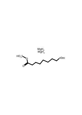 CCCCCCCCCCCCCCCCCC(=O)OS(=O)(=O)O.[MgH2].[MgH2]